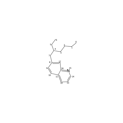 CCCCC(CC)Cc1ccc2cccnc2c1